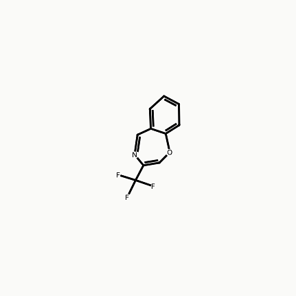 FC(F)(F)C1=COc2ccccc2C=N1